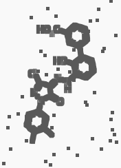 Cc1ccc(N2N=C(Cl)C(=NNc3cccc(-c4cccc(C(=O)O)c4)c3O)C2=O)cc1C